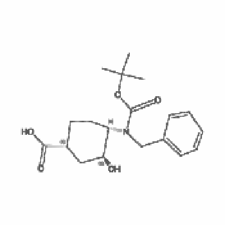 CC(C)(C)OC(=O)N(Cc1ccccc1)[C@H]1CC[C@@H](C(=O)O)C[C@@H]1O